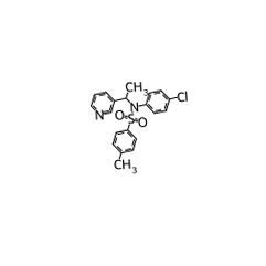 Cc1ccc(S(=O)(=O)N(c2ccc(Cl)cc2)C(C)c2cccnc2)cc1